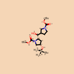 CC(C)(C)OC(=O)N1CCC(C(O)[C@@H]2C[C@H](O[Si](C)(C)C(C)(C)C)CN2C(=O)OC(C)(C)C)C1